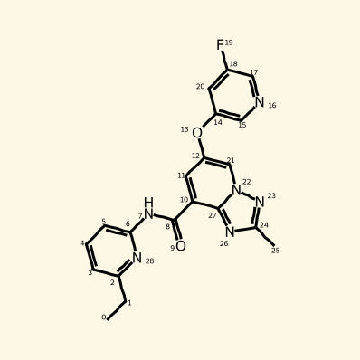 CCc1cccc(NC(=O)c2cc(Oc3cncc(F)c3)cn3nc(C)nc23)n1